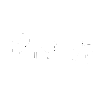 O=C(CCC([N+](=O)[O-])([N+](=O)[O-])[N+](=O)[O-])NNC(=O)C(F)(F)C(F)(F)F